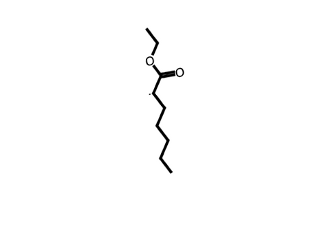 CCCCC[CH]C(=O)OCC